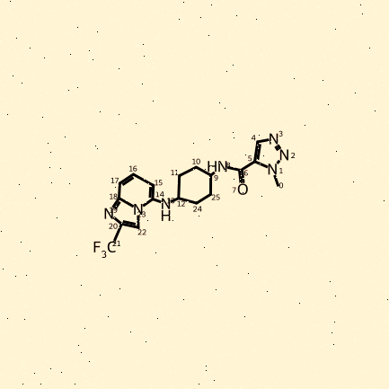 Cn1nncc1C(=O)NC1CCC(Nc2cccc3nc(C(F)(F)F)cn23)CC1